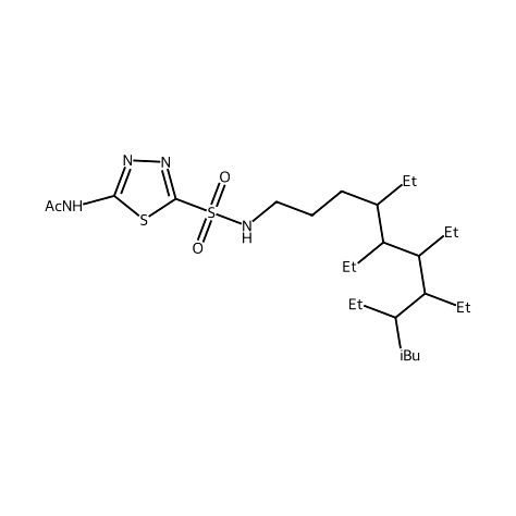 CCC(C)C(CC)C(CC)C(CC)C(CC)C(CC)CCCNS(=O)(=O)c1nnc(NC(C)=O)s1